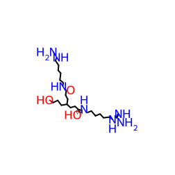 N=C(N)NCCCCCCN[C@H](O)CCC(CCCO)CCC(=O)NCCCCCCNN